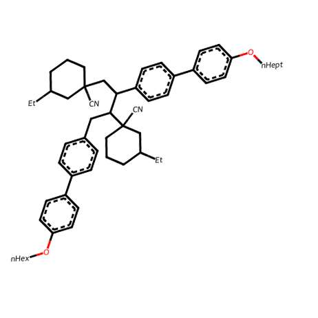 CCCCCCCOc1ccc(-c2ccc(C(CC3(C#N)CCCC(CC)C3)C(Cc3ccc(-c4ccc(OCCCCCC)cc4)cc3)C3(C#N)CCCC(CC)C3)cc2)cc1